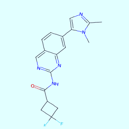 Cc1ncc(-c2ccc3cnc(NC(=O)C4CC(F)(F)C4)nc3c2)n1C